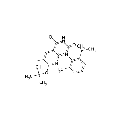 Cc1ccnc(C(C)C)c1-n1c(=O)[nH]c(=O)c2cc(F)c(OC(C)(C)C)nc21